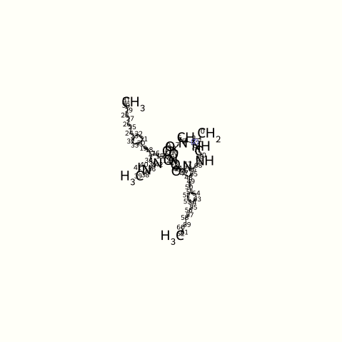 C=C/C=C1/CN(C)CC(=O)ON(OC(=O)c2cc(C#Cc3ccc(CCCCCCCC)cc3)cc(CN(CC)CI)n2)OC(=O)c2cc(C#Cc3ccc(CCCCCCCC)cc3)cc(n2)CNCCN1